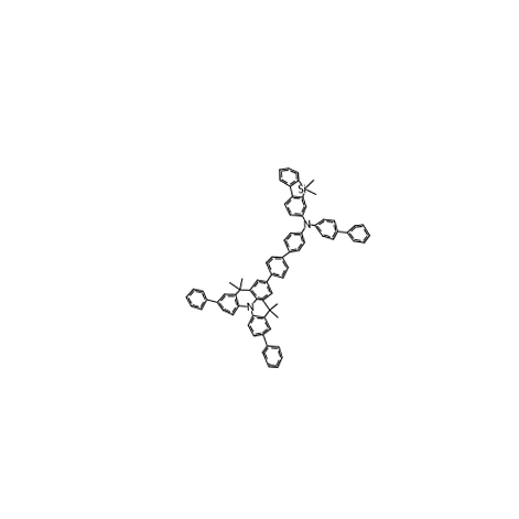 CC1(C)c2cc(-c3ccccc3)ccc2N2c3ccc(-c4ccccc4)cc3C(C)(C)c3cc(-c4ccc(-c5ccc(N(c6ccc(-c7ccccc7)cc6)c6ccc7c(c6)[Si](C)(C)c6ccccc6-7)cc5)cc4)cc1c32